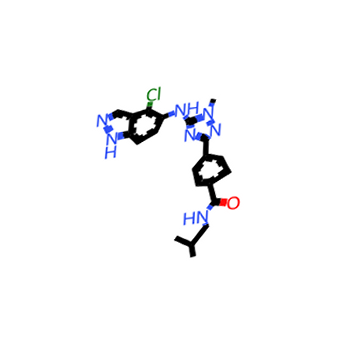 CC(C)CNC(=O)c1ccc(-c2nc(Nc3ccc4[nH]ncc4c3Cl)n(C)n2)cc1